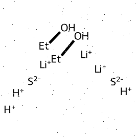 CCO.CCO.[H+].[H+].[H+].[Li+].[Li+].[Li+].[S-2].[S-2]